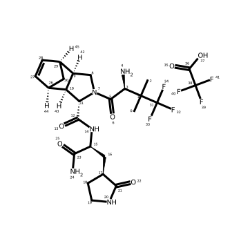 CC(C)([C@H](N)C(=O)N1C[C@H]2[C@@H]([C@H]1C(=O)N[C@@H](C[C@@H]1CCNC1=O)C(N)=O)[C@H]1C=C[C@@H]2C1)C(F)(F)F.O=C(O)C(F)(F)F